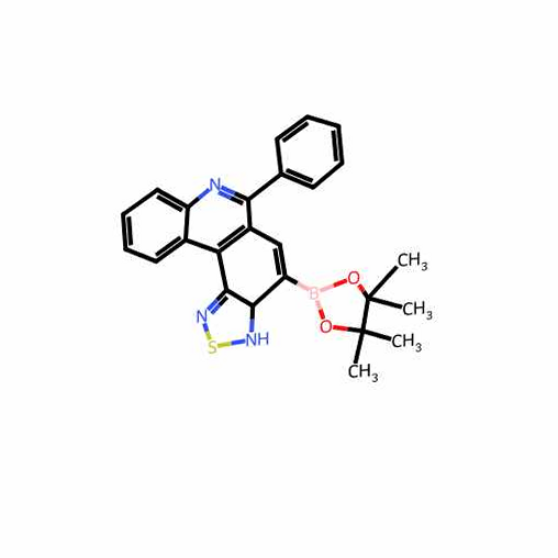 CC1(C)OB(C2=Cc3c(-c4ccccc4)nc4ccccc4c3C3=NSNC23)OC1(C)C